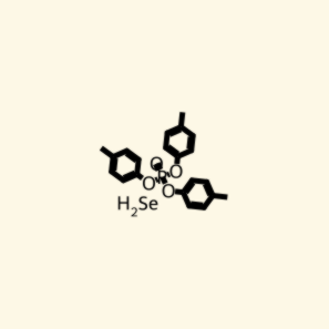 Cc1ccc(OP(=O)(Oc2ccc(C)cc2)Oc2ccc(C)cc2)cc1.[SeH2]